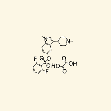 CN1CCC(c2cn(C)c3ccc(OS(=O)(=O)c4c(F)cccc4F)cc23)CC1.O=C(O)C(=O)O